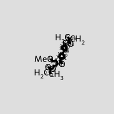 C=C(C)C(=O)OCCN(CCOC)C(=O)c1ccc(-c2ccc(OC(=O)C(=C)C)cc2)cc1